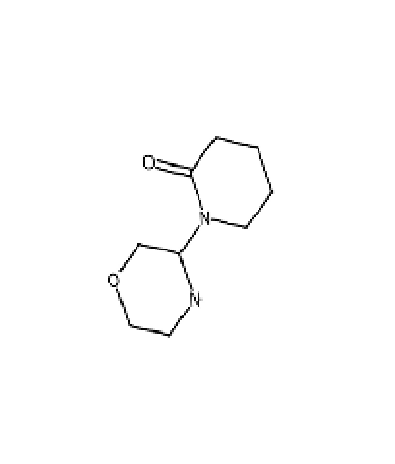 O=C1CCCCN1C1COCC[N]1